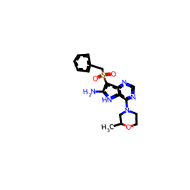 CC1CN(c2ncnc3c(S(=O)(=O)Cc4ccccc4)c(N)[nH]c23)CCO1